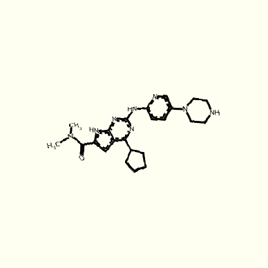 CN(C)C(=O)c1cc2c(C3CCCC3)nc(Nc3ccc(N4CCNCC4)cn3)nc2[nH]1